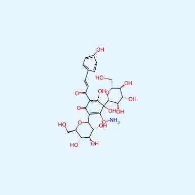 NOC1=C(C2O[C@H](CO)[C@@H](O)[C@H](O)[C@H]2O)C(=O)C(C(=O)/C=C/c2ccc(O)cc2)=C(O)C1(O)C1O[C@H](CO)[C@@H](O)[C@H](O)[C@H]1O